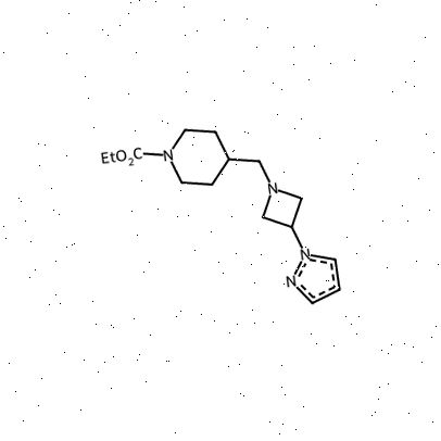 CCOC(=O)N1CCC(CN2CC(n3cccn3)C2)CC1